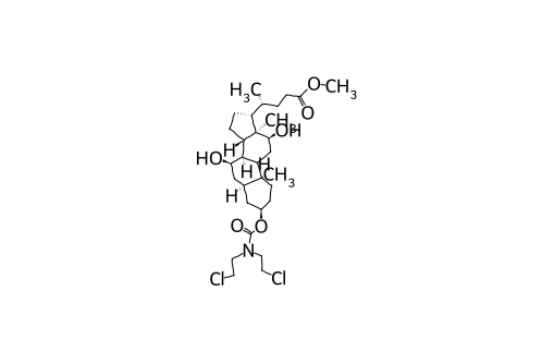 COC(=O)CC[C@@H](C)[C@H]1CC[C@H]2[C@@H]3[C@H](O)C[C@@H]4C[C@H](OC(=O)N(CCCl)CCCl)CC[C@]4(C)[C@H]3C[C@H](O)[C@]12C